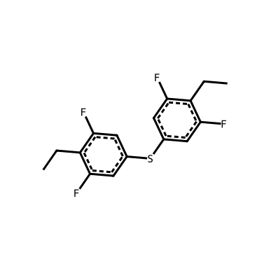 CCc1c(F)cc(Sc2cc(F)c(CC)c(F)c2)cc1F